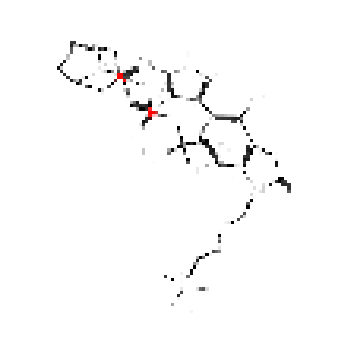 CC(C)(C)OC(=O)NC1CC2CCC(C1)N2c1cnc2c(-c3ccc4c(sc(=O)n4COCC[Si](C)(C)C)c3Cl)c[nH]c2n1